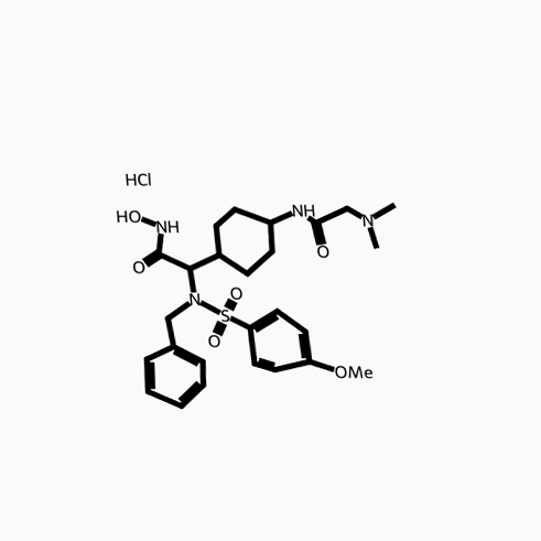 COc1ccc(S(=O)(=O)N(Cc2ccccc2)C(C(=O)NO)C2CCC(NC(=O)CN(C)C)CC2)cc1.Cl